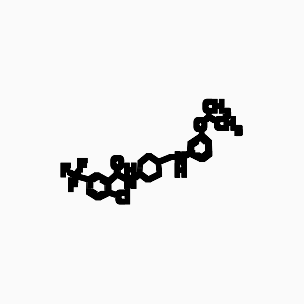 CC(C)Oc1cccc(NCC2CCC(NC(=O)c3cc(C(F)(F)F)ccc3Cl)CC2)c1